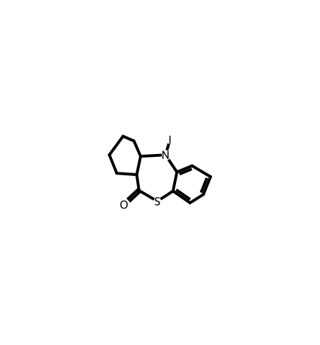 O=C1Sc2ccccc2N(I)C2CCCCC12